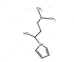 CN(C)CCC(O)[SH]1C=CC=C1